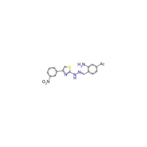 CC(=O)c1ccc(C=NNc2nc(-c3cccc([N+](=O)[O-])c3)cs2)c(N)c1